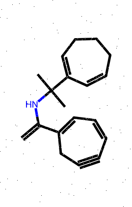 C=C(NC(C)(C)C1=CCCCC=C1)C1=CC=CC#CC1